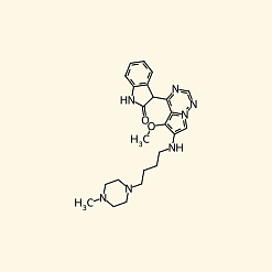 COc1c(NCCCCN2CCN(C)CC2)cn2ncnc(C3C(=O)Nc4ccccc43)c12